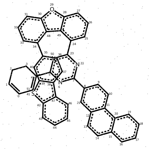 C1=CCCC(c2nc(-c3ccc4c(ccc5ccccc54)c3)nc(-c3cccc4oc5cccc(-c6ccc7c(c6)sc6ccccc67)c5c34)n2)=C1